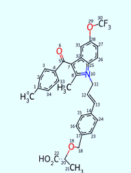 Cc1ccc(C(=O)c2c(C)n(C/C=C/c3ccc(CO[C@H](C)C(=O)O)cc3)c3ccc(OC(F)(F)F)cc23)cc1